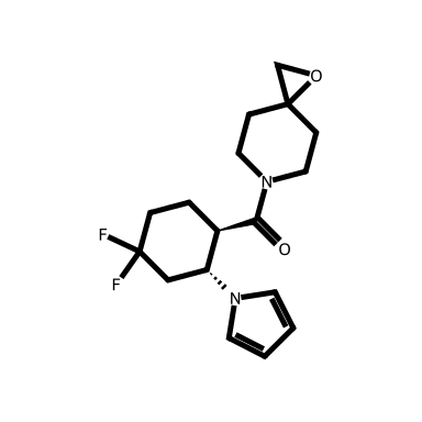 O=C([C@@H]1CCC(F)(F)C[C@H]1n1cccc1)N1CCC2(CC1)CO2